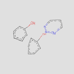 Oc1ccccc1.Oc1ccccc1.c1cnnnc1